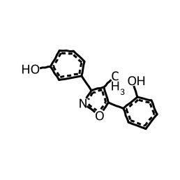 Cc1c(-c2cccc(O)c2)noc1-c1ccccc1O